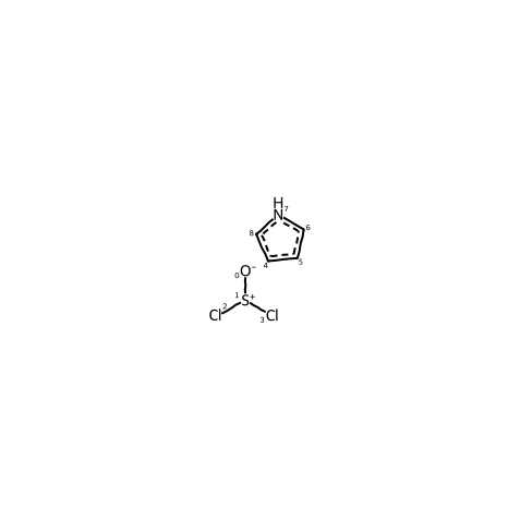 [O-][S+](Cl)Cl.c1cc[nH]c1